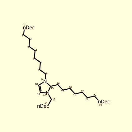 CCCCCCCCCCCCCCCCCCN1C=CN(CCCCCCCCCCC)C1CCCCCCCCCCCCCCCCC